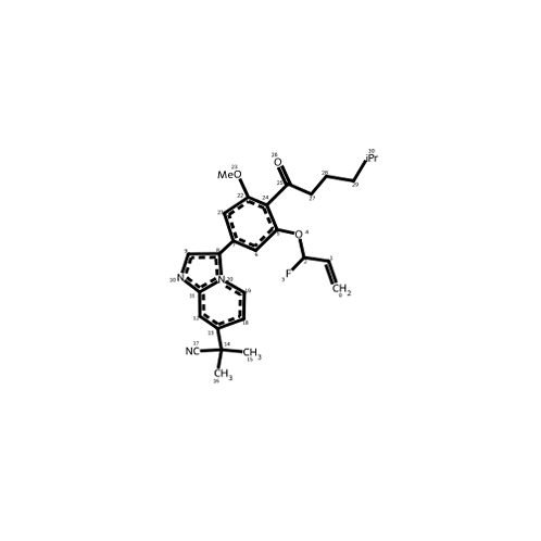 C=CC(F)Oc1cc(-c2cnc3cc(C(C)(C)C#N)ccn23)cc(OC)c1C(=O)CCCC(C)C